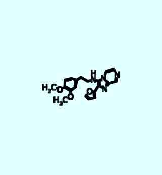 COc1ccc(CCNc2c(-c3ccco3)nc3cnccn23)cc1OC